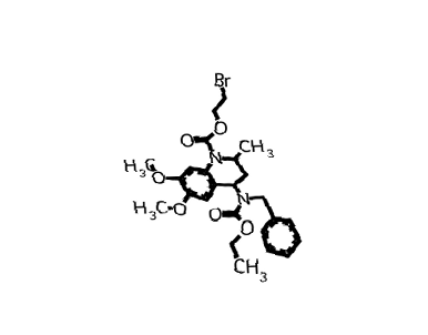 CCOC(=O)N(Cc1ccccc1)C1CC(C)N(C(=O)OCCBr)c2cc(OC)c(OC)cc21